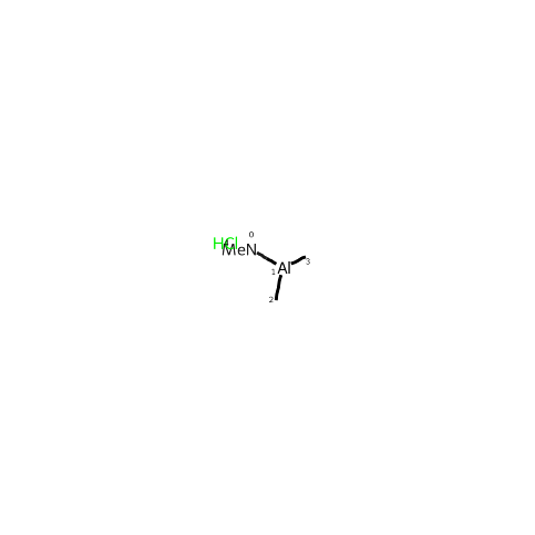 C[NH][Al]([CH3])[CH3].Cl